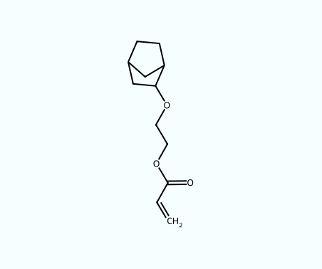 C=CC(=O)OCCOC1CC2CCC1C2